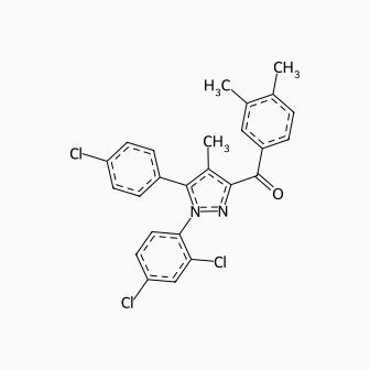 Cc1ccc(C(=O)c2nn(-c3ccc(Cl)cc3Cl)c(-c3ccc(Cl)cc3)c2C)cc1C